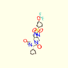 O=C1CN([C@H](C(=O)N2Cc3cn(S(=O)(=O)c4ccc(OC(F)F)cc4)nc3C2)c2ccccc2)C1